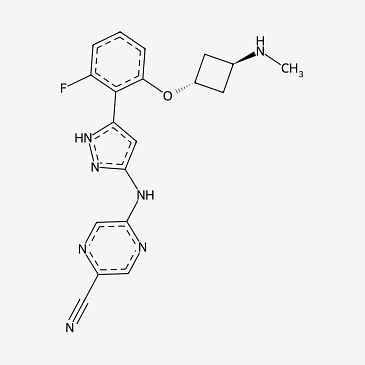 CN[C@H]1C[C@H](Oc2cccc(F)c2-c2cc(Nc3cnc(C#N)cn3)n[nH]2)C1